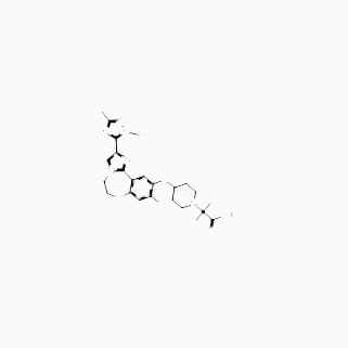 COC(=O)C(C)(C)N1CCC(Sc2cc3c(cc2F)OCCn2cc(-c4nc(C)nn4C(C)C)nc2-3)CC1